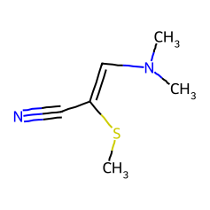 CS/C(C#N)=C\N(C)C